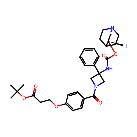 CC(C)(C)OC(=O)CCOc1ccc(C(=O)N2CC(NC(=O)O[C@H]3CN4CCC3CC4)(c3ccccc3)C2)cc1